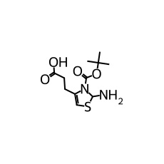 CC(C)(C)OC(=O)N1C(CCC(=O)O)=CSC1N